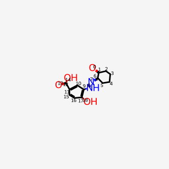 O=C1CCCC/C1=N\Nc1cc(C(=O)O)ccc1O